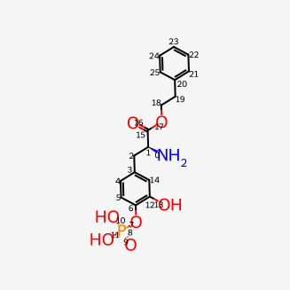 N[C@@H](Cc1ccc(OP(=O)(O)O)c(O)c1)C(=O)OCCc1ccccc1